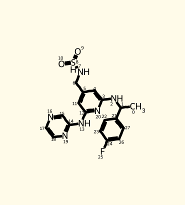 CC(Nc1cc(CN[SH](=O)=O)cc(Nc2cnccn2)n1)c1ccc(F)cc1